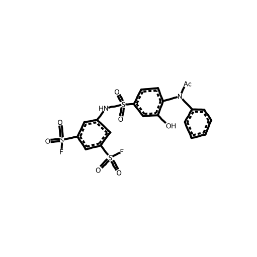 CC(=O)N(c1ccccc1)c1ccc(S(=O)(=O)Nc2cc(S(=O)(=O)F)cc(S(=O)(=O)F)c2)cc1O